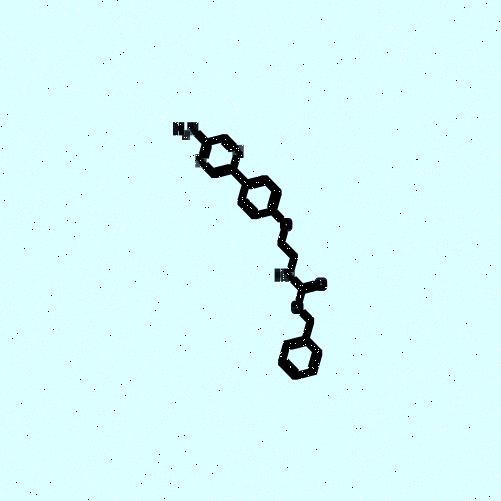 Nc1cnc(-c2ccc(OCCNC(=O)OCc3ccccc3)cc2)cn1